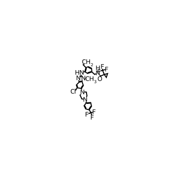 C=Cc1ccc(CNC(=O)C2(C(F)(F)F)CC2)cc1Nc1nc2cc(Cl)c(N3CCN(c4ccc(C(F)(F)F)cc4)CC3)cc2n1C